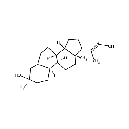 C/C(=N\O)[C@H]1CC[C@H]2[C@@H]3CCC4C[C@](C)(O)CC[C@@H]4[C@@H]3CC[C@]12C